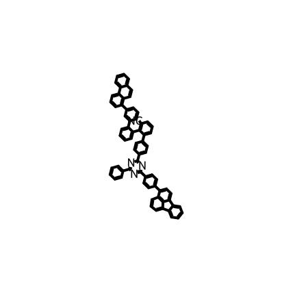 N#Cc1cccc(-c2ccc(-c3nc(-c4ccccc4)nc(-c4ccc(-c5ccc6c7c(cccc57)-c5ccccc5-6)cc4)n3)cc2)c1-c1ccccc1-c1cccc(-c2cccc3c2ccc2ccccc23)c1